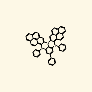 c1ccc(-c2cc3c4c(c2)N(c2ccccc2)c2c(cc5ccc6cccc7ccc2c5c67)B4c2cc4ccc5cccc6ccc(c2N3c2ccccc2)c4c56)cc1